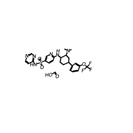 CN(C)C1CC(c2cccc(OC(F)(F)F)c2)CCC1Nc1ccc(S(=O)(=O)Nc2ccncn2)cn1.O=CO